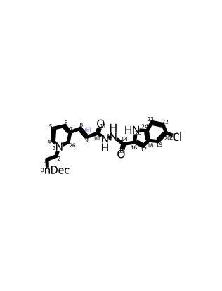 CCCCCCCCCCCCN1C=CC=C(/C=C/C(=O)NNC(=O)c2cc3cc(Cl)ccc3[nH]2)C1